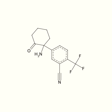 N#Cc1cc(C2(N)CCCCC2=O)ccc1C(F)(F)F